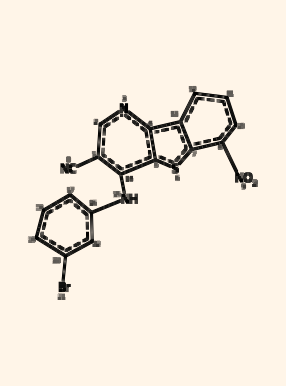 N#Cc1cnc2c(sc3c([N+](=O)[O-])cccc32)c1Nc1cccc(Br)c1